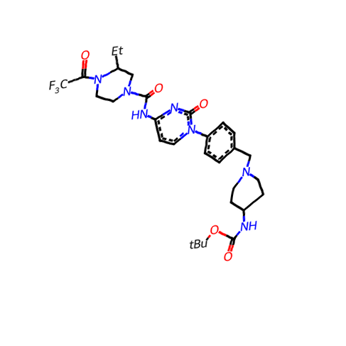 CCC1CN(C(=O)Nc2ccn(-c3ccc(CN4CCC(NC(=O)OC(C)(C)C)CC4)cc3)c(=O)n2)CCN1C(=O)C(F)(F)F